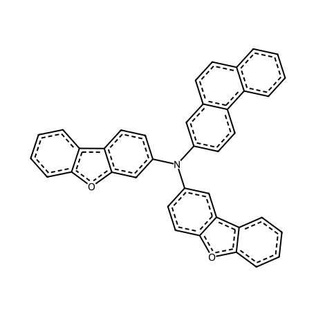 c1ccc2c(c1)ccc1cc(N(c3ccc4c(c3)oc3ccccc34)c3ccc4oc5ccccc5c4c3)ccc12